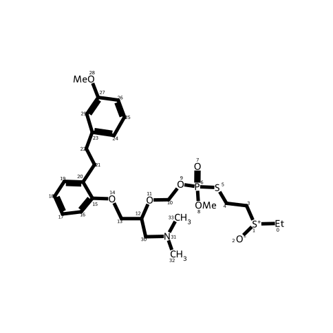 CC[S+]([O-])CCSP(=O)(OC)OCOC(COc1ccccc1CCc1cccc(OC)c1)CN(C)C